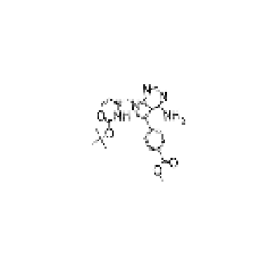 C=C[C@H](Cn1cc(-c2ccc(C(=O)OC)cc2)c2c(N)ncnc21)NC(=O)OC(C)(C)C